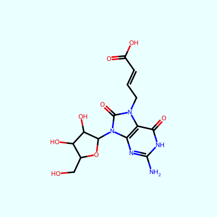 Nc1nc2c(c(=O)[nH]1)n(C/C=C/C(=O)O)c(=O)n2C1OC(CO)C(O)C1O